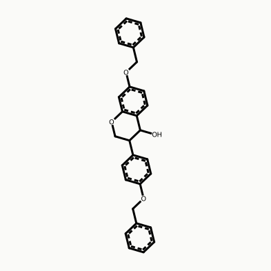 OC1c2ccc(OCc3ccccc3)cc2OCC1c1ccc(OCc2ccccc2)cc1